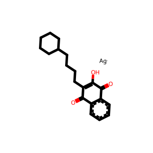 O=C1C(O)=C(CCCCC2CCCCC2)C(=O)c2ccccc21.[Ag]